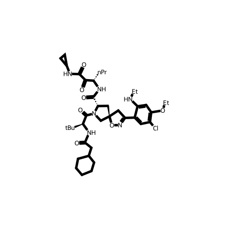 CCC[C@H](NC(=O)[C@@H]1C[C@]2(CC(c3cc(Cl)c(OCC)cc3NCC)=NO2)CN1C(=O)[C@@H](NC(=O)CC1CCCCC1)C(C)(C)C)C(=O)C(=O)NC1CC1